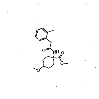 COC(=O)C1(NC(=O)Cc2ccccc2C)CCC(OC)CC1